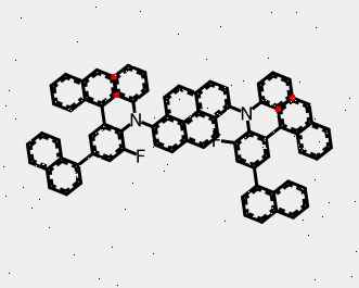 Fc1cc(-c2cccc3ccccc23)cc(-c2cccc3ccccc23)c1N(c1ccccc1)c1ccc2ccc3c(N(c4ccccc4)c4c(F)cc(-c5cccc6ccccc56)cc4-c4cccc5ccccc45)ccc4ccc1c2c43